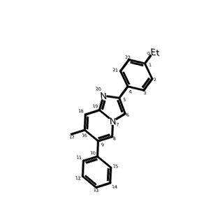 CCc1ccc(-c2cn3cc(-c4ccccc4)c(C)cc3n2)cc1